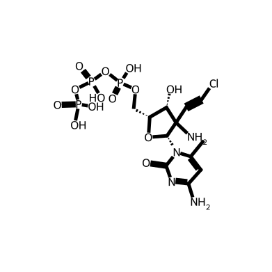 Cc1cc(N)nc(=O)n1[C@@H]1O[C@H](COP(=O)(O)OP(=O)(O)OP(=O)(O)O)[C@H](O)C1(N)C#CCl